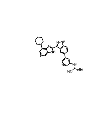 CCCCC(O)Nc1cncc(-c2ccc3[nH]nc(-c4nc5c(N6CCCCC6)cncc5[nH]4)c3c2)c1